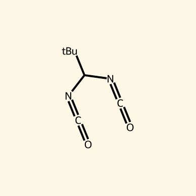 CC(C)(C)C(N=C=O)N=C=O